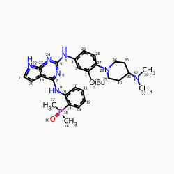 CC(C)COc1cc(Nc2nc(Nc3ccccc3P(C)(C)=O)c3cc[nH]c3n2)ccc1N1CCC(N(C)C)CC1